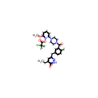 CCc1cc(Cc2ccc(F)c(C(=O)N3CCN(c4cccc(OC)[n+]4OC(=O)C(F)(F)F)CC3)c2)n[nH]c1=O